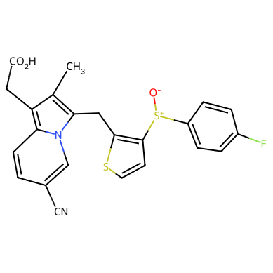 Cc1c(CC(=O)O)c2ccc(C#N)cn2c1Cc1sccc1[S+]([O-])c1ccc(F)cc1